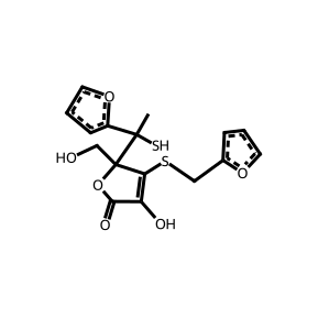 CC(S)(c1ccco1)C1(CO)OC(=O)C(O)=C1SCc1ccco1